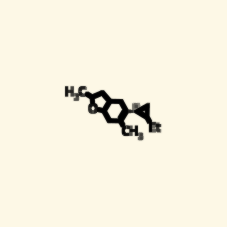 CCC1C[C@H]1C1=C(C)CC2OC(C)CC2C1